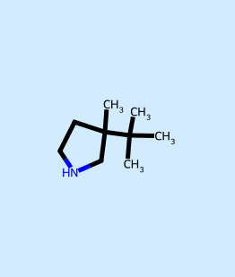 CC(C)(C)C1(C)CCNC1